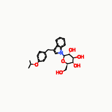 CC(C)Oc1ccc(Cc2cn([C@@H]3O[C@H](CO)[C@@H](O)[C@H](O)[C@H]3O)c3ccccc23)cc1